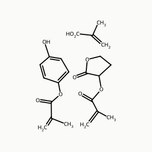 C=C(C)C(=O)O.C=C(C)C(=O)OC1CCOC1=O.C=C(C)C(=O)Oc1ccc(O)cc1